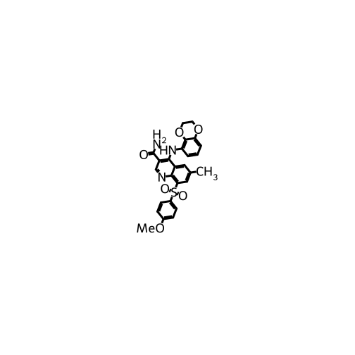 COc1ccc(S(=O)(=O)c2cc(C)cc3c(Nc4cccc5c4OCCO5)c(C(N)=O)cnc23)cc1